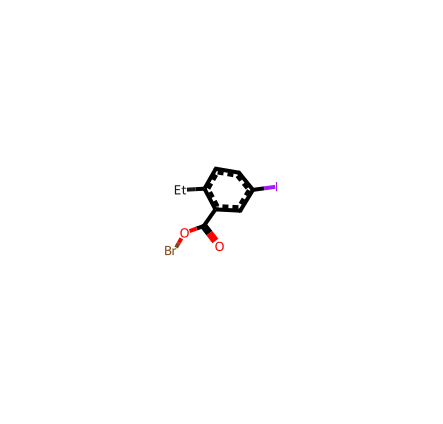 CCc1ccc(I)cc1C(=O)OBr